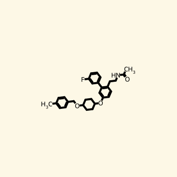 CC(=O)NCCc1ccc(OC2CCC(OCc3ccc(C)cc3)CC2)cc1-c1cccc(F)c1